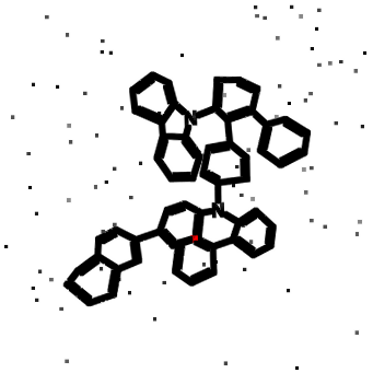 c1ccc(-c2ccccc2N(c2ccc(-c3ccc4ccccc4c3)cc2)c2ccc(-c3c(-c4ccccc4)cccc3-n3c4ccccc4c4ccccc43)cc2)cc1